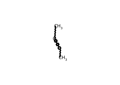 CCCCCCCCCCCOc1ccc(-c2ccc(C3CCC(CCCCCCC)CC3)cc2)cc1